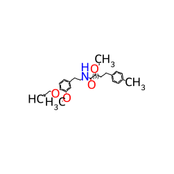 C#CCOc1ccc(CCNC(=O)[C@H](CCc2ccc(C)cc2)OCC)cc1OC